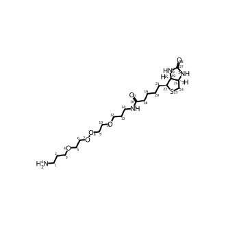 NCCCOCCOOCCOCCCNC(=O)CCCC[C@@H]1SC[C@@H]2NC(=O)N[C@@H]21